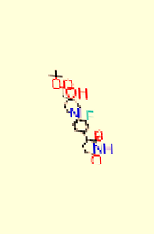 CC(C)(C)OC(=O)CC1(O)CCN(c2ccc(C3CCC(=O)NC3=O)cc2F)CC1